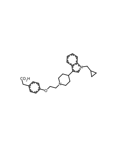 O=C(O)Cc1ccc(OCCN2CCC(c3cn(CC4CC4)c4ccccc34)CC2)cc1